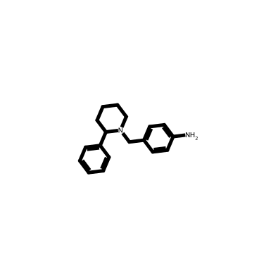 Nc1ccc(CN2CCCCC2c2ccccc2)cc1